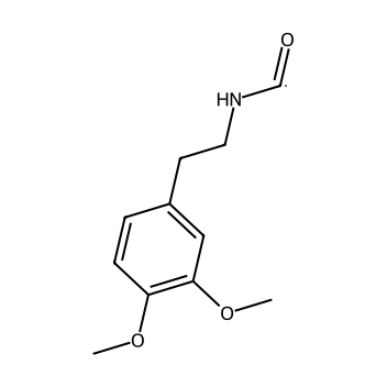 COc1ccc(CCN[C]=O)cc1OC